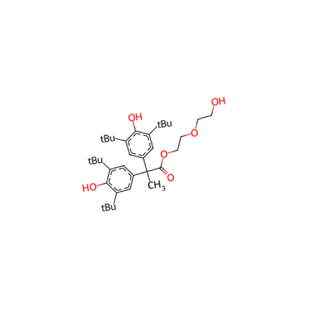 CC(C)(C)c1cc(C(C)(C(=O)OCCOCCO)c2cc(C(C)(C)C)c(O)c(C(C)(C)C)c2)cc(C(C)(C)C)c1O